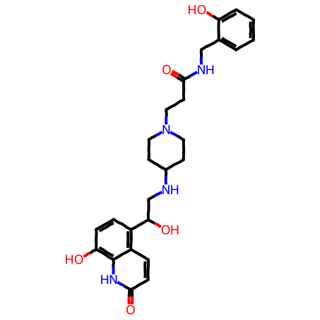 O=C(CCN1CCC(NCC(O)c2ccc(O)c3[nH]c(=O)ccc23)CC1)NCc1ccccc1O